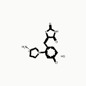 Cl.N[C@H]1CCN(c2cc(Cl)ccc2C=C2SC(=O)NC2=O)C1